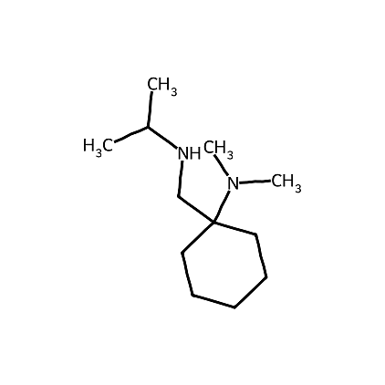 CC(C)NCC1(N(C)C)CCCCC1